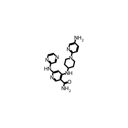 NC(=O)c1cnc(Nc2cnccn2)cc1NC1CCN(c2ccc(N)cn2)CC1